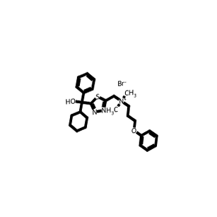 C[N+](C)(CCCOc1ccccc1)Cc1nnc(C(O)(c2ccccc2)C2CCCCC2)s1.[Br-]